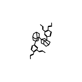 CC=Cc1ccc(C23CC4CC(C2)CC(C25CC6CC(CC(c7ccc(C=CC)c(C=CC)c7)(C6)C2)C5)(C4)C3)cc1C=CC